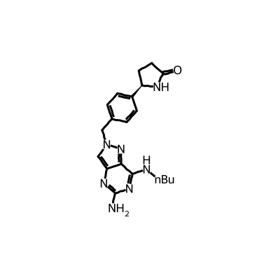 CCCCNc1nc(N)nc2cn(Cc3ccc([C@H]4CCC(=O)N4)cc3)nc12